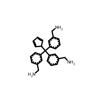 NCc1cccc(C([C]2C=CC=C2)(c2cccc(CN)c2)c2cccc(CN)c2)c1